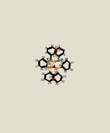 c1ccc([Se][PH2]([Se]c2ccccc2)C(P(c2ccccc2)c2ccccc2)P(c2ccccc2)c2ccccc2)cc1